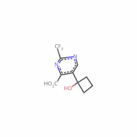 O=C(O)c1nc(C(F)(F)F)ncc1C1(O)CCC1